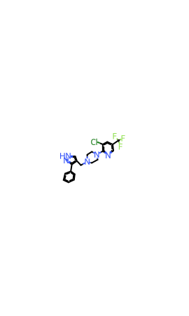 FC(F)(F)c1cnc(N2CCN(Cc3c[nH]nc3-c3ccccc3)CC2)c(Cl)c1